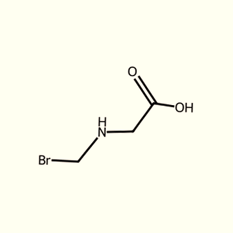 O=C(O)CNCBr